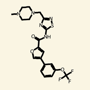 CN1CCN(Cc2nsc(NC(=O)c3cc(-c4cccc(OC(F)(F)F)c4)co3)n2)CC1